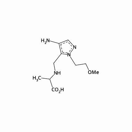 COCCn1ncc(N)c1CNC(C)C(=O)O